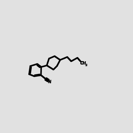 CCCCC1CCC(c2ccccc2C#N)CC1